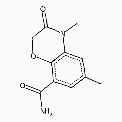 Cc1cc(C(N)=O)c2c(c1)N(C)C(=O)CO2